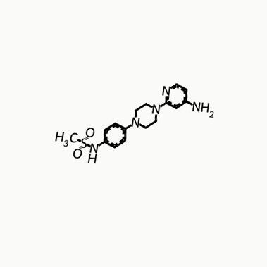 CS(=O)(=O)Nc1ccc(N2CCN(c3cc(N)ccn3)CC2)cc1